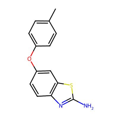 Cc1ccc(Oc2ccc3nc(N)sc3c2)cc1